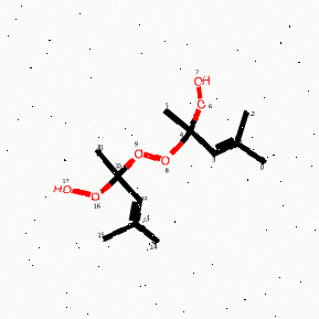 CC(C)=CC(C)(OO)OOC(C)(C=C(C)C)OO